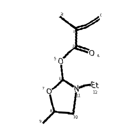 C=C(C)C(=O)OC1OC(C)CN1CC